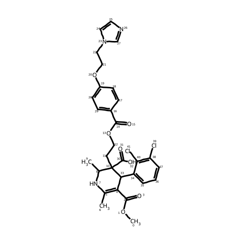 COC(=O)C1=C(C)NC(C)C(CCOC(=O)c2ccc(OCCn3ccnc3)cc2)(C(=O)O)C1c1cccc(Cl)c1Cl